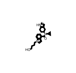 O=C(c1cccc2c1ccn2CCCCO)N(C1CC1)C1CCc2[nH]ncc2C1